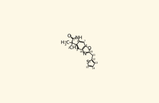 CC1(C)C(=O)Nc2cc3oc(Cc4cccs4)nc3cc21